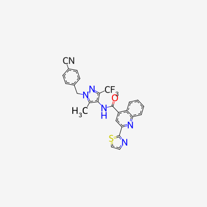 Cc1c(NC(=O)c2cc(-c3nccs3)nc3ccccc23)c(C(F)(F)F)nn1Cc1ccc(C#N)cc1